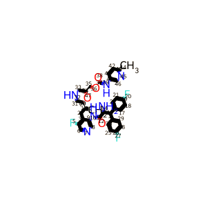 C=C(Cc1c(F)cncc1NC(=O)C(N)C(c1ccc(F)cc1)c1ccc(F)cc1)[C@@H]1CNC[C@@H](COC(=O)Nc2ccc(C)nc2)O1